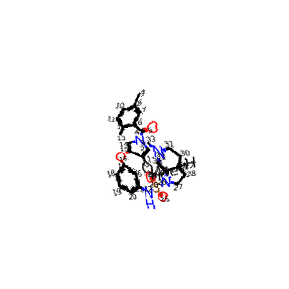 COC1CN(C(=O)c2cc(C)ccc2C)CC1Oc1cccc(NS(=O)(=O)N2CC[C@H]3CCN(C)C[C@@H]32)c1